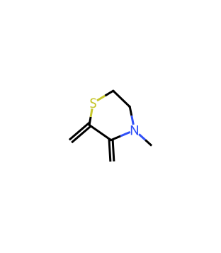 C=C1SCCN(C)C1=C